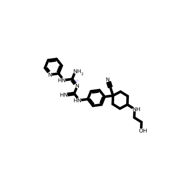 N#CC1(c2ccc(NC(=N)/N=C(/N)Nc3ccccn3)cc2)CCC(NCCO)CC1